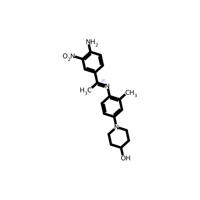 C/C(=N\c1ccc(N2CCC(O)CC2)cc1C)c1ccc(N)c([N+](=O)[O-])c1